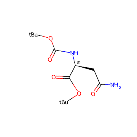 CC(C)(C)OC(=O)N[C@@H](CC(N)=O)C(=O)OC(C)(C)C